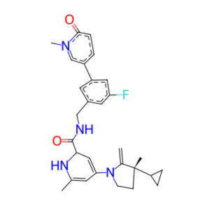 C=C1N(C2=CC(C(=O)NCc3cc(F)cc(-c4ccc(=O)n(C)c4)c3)NC(C)=C2)CC[C@@]1(C)C1CC1